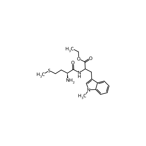 CCOC(=O)C(Cc1cn(C)c2ccccc12)NC(=O)[C@@H](N)CCSC